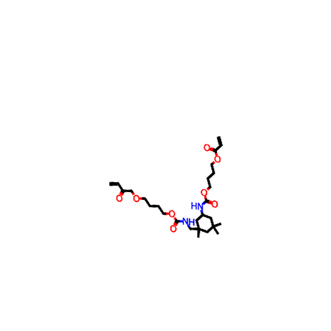 C=CC(=O)COCCCCOC(=O)NCC1(C)CC(NC(=O)OCCCCOC(=O)C=C)CC(C)(C)C1